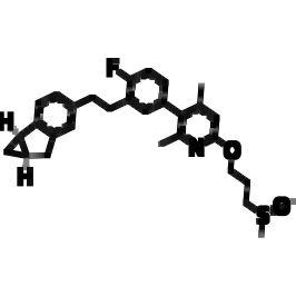 Cc1cc(OCCC[S+](C)[O-])nc(C)c1-c1ccc(F)c(CCc2ccc3c(c2)C[C@H]2C[C@@H]32)c1